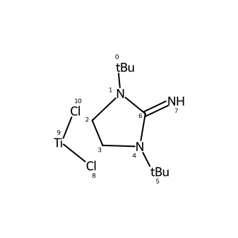 CC(C)(C)N1CCN(C(C)(C)C)C1=N.[Cl][Ti][Cl]